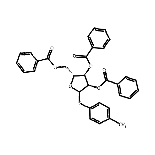 Cc1ccc(SC2O[C@H](COC(=O)c3ccccc3)[C@@H](OC(=O)c3ccccc3)[C@H]2OC(=O)c2ccccc2)cc1